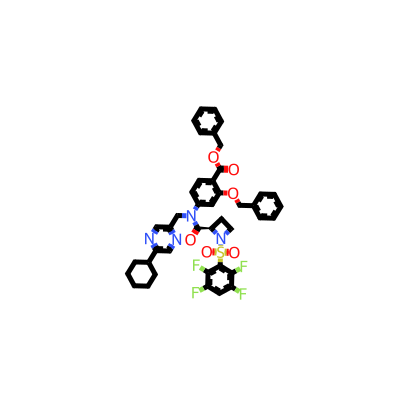 O=C(OCc1ccccc1)c1ccc(N(Cc2cnc(C3CCCCC3)cn2)C(=O)[C@H]2CCN2S(=O)(=O)c2c(F)c(F)cc(F)c2F)cc1OCc1ccccc1